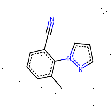 Cc1cccc(C#N)c1-n1cccn1